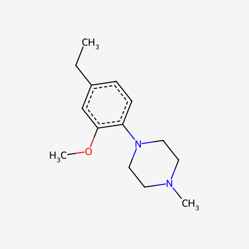 CCc1ccc(N2CCN(C)CC2)c(OC)c1